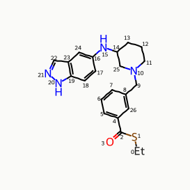 CCSC(=O)c1cccc(CN2CCCC(Nc3ccc4[nH]ncc4c3)C2)c1